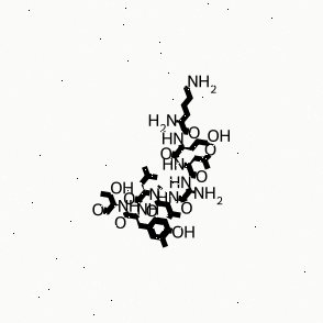 Cc1cc(C[C@H](NC(=O)[C@H](CC(C)C)N(C)C(=O)[C@@H](NC(=O)[C@H](N)NC(=O)[C@H](CC(C)C)NC(=O)[C@H](CCC(=O)O)NC(=O)[C@@H](N)CCCCN)C(C)C)C(=O)N[C@H](C=O)C(C)O)ccc1O